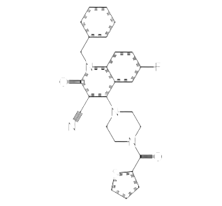 N#Cc1c(N2CCN(C(=O)c3cccs3)CC2)c2cc(F)ccc2n(Cc2ccccc2)c1=O